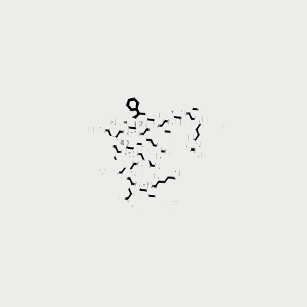 CSCC[C@H](NC(=O)[C@H](CCC(N)=O)NC(=O)[C@H](CCC(=O)O)NC(=O)[C@@H](N)CCC(N)=O)C(=O)N[C@@H](CC(N)=O)C(=O)N[C@@H](CC(C)C)C(=O)N[C@@H](CC(C)C)C(=O)N[C@@H](CC(N)=O)C(=O)N[C@@H](CO)C(=O)N[C@@H](CCCNC(=N)N)C(=O)N[C@@H](Cc1c[nH]c2ccccc12)C(=O)N[C@@H](CCC(=O)O)C(=O)N[C@@H](CS)C(=O)N[C@@H](CC(C)C)C(=O)N[C@@H](CCCNC(=N)N)C(=O)O